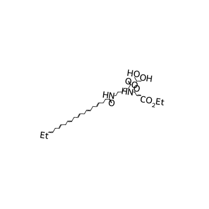 CCC=CCC=CCC=CCC=CCC=CCC=CCCC(=O)NCCCC[C@H](NC(=O)C=CC(=O)OCC)C(=O)OC(CO)CO